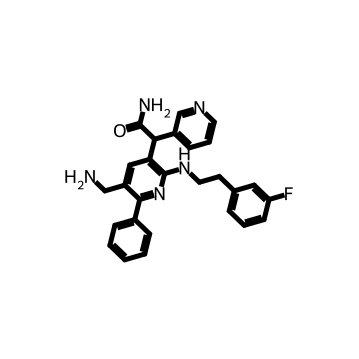 NCc1cc(C(C(N)=O)c2cccnc2)c(NCCc2cccc(F)c2)nc1-c1ccccc1